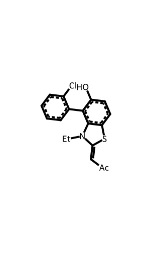 CCN1/C(=C/C(C)=O)Sc2ccc(O)c(-c3ccccc3Cl)c21